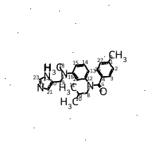 Cc1ccc(C(=O)N(CC(C)C)c2cccc(N(C)Cc3cnc[nH]3)c2)cc1